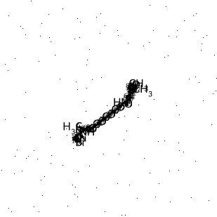 CCCC(NC(=O)C(C#N)Cc1cccc(Br)n1)c1ccc(OCCOCCOCCOCCOCCOCCOCCNC(=O)c2ccc(-c3ccc4c(c3)CC[C@H](C)N4C(C)=O)cc2)cc1